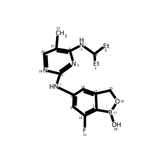 CCC(CC)Nc1nc(Nc2cc(F)c3c(c2)COB3O)ncc1C